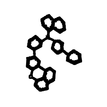 c1ccc(-c2ccc(N(c3cccc(-c4ccc5c(c4)-c4cccc6cccc(c46)O5)c3)c3cccc4ccccc34)cc2)cc1